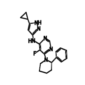 Fc1c(Nc2cc(C3CC3)[nH]n2)ncnc1N1CCCCC1c1ccccc1